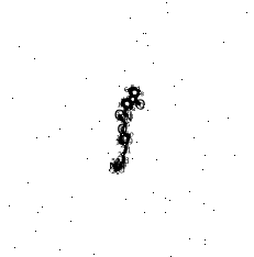 O=C1c2ccccc2-c2ccc(-c3nc(COc4ccc(CCCn5ccnc5)cc4)co3)cc21